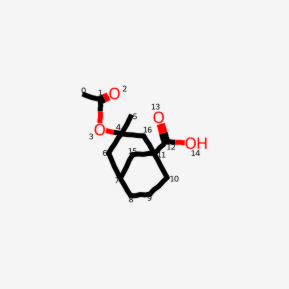 CC(=O)OC1(C)CC2CCCC(C(=O)O)(C2)C1